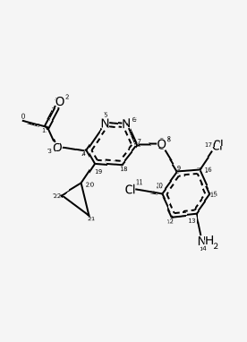 CC(=O)Oc1nnc(Oc2c(Cl)cc(N)cc2Cl)cc1C1CC1